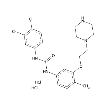 Cc1ccc(NC(=O)Nc2ccc(Cl)c(Cl)c2)cc1OCCN1CCNCC1.Cl.Cl